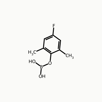 Cc1cc(F)cc(C)c1OB(O)O